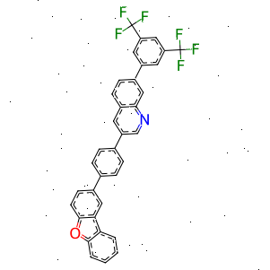 FC(F)(F)c1cc(-c2ccc3cc(-c4ccc(-c5ccc6oc7ccccc7c6c5)cc4)cnc3c2)cc(C(F)(F)F)c1